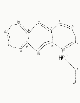 CCPc1cccc2cc3ccccc3cc12